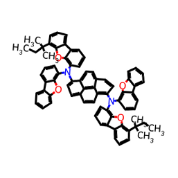 CCC(C)(C)c1cccc2c1oc1c(N(c3ccc4ccc5c(N(c6cccc7c6oc6ccccc67)c6cccc7c6oc6c(C(C)(C)CC)cccc67)ccc6ccc3c4c65)c3cccc4c3oc3ccccc34)cccc12